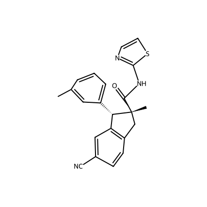 Cc1cccc([C@H]2c3cc(C#N)ccc3C[C@@]2(C)C(=O)Nc2nccs2)c1